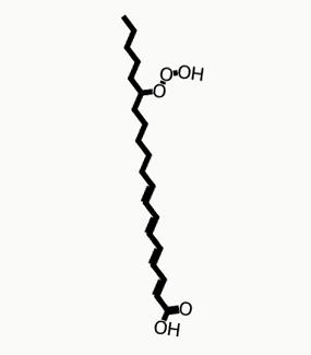 CCCCCC(CCCCC/C=C/C=C/C=C/C=C/C(=O)O)OOO